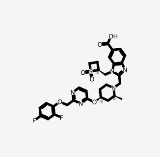 C[C@H]1C[C@@H](Oc2ccnc(COc3ccc(F)cc3F)n2)CCN1Cc1nc2ccc(C(=O)O)cc2n1C[C@@H]1CCS1(=O)=O